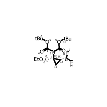 CCOC(=O)[C@@]1(N(C(=O)OC(C)(C)C)C(=O)OC(C)(C)C)C[C@H]1C(F)F